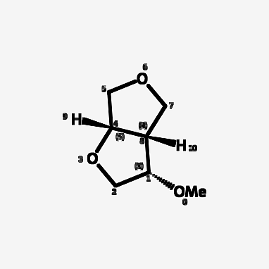 CO[C@@H]1CO[C@@H]2COC[C@H]12